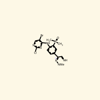 CN/N=C(\C=N)c1ccc(Nc2nc(Cl)ncc2Br)c(P(C)(C)=O)c1